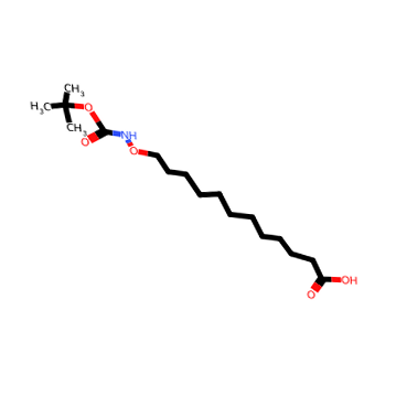 CC(C)(C)OC(=O)NOCCCCCCCCCCCC(=O)O